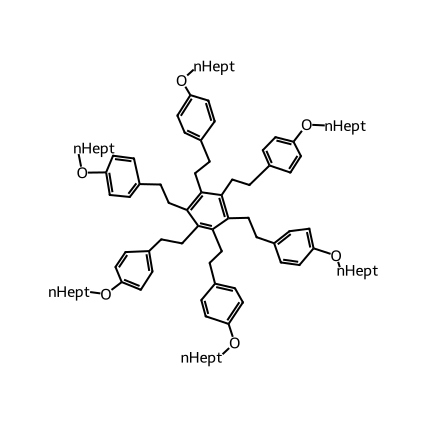 CCCCCCCOc1ccc(CCc2c(CCc3ccc(OCCCCCCC)cc3)c(CCc3ccc(OCCCCCCC)cc3)c(CCc3ccc(OCCCCCCC)cc3)c(CCc3ccc(OCCCCCCC)cc3)c2CCc2ccc(OCCCCCCC)cc2)cc1